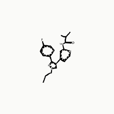 CCCn1cc(-c2ccnc(NC(=O)C(C)C)c2)c(-c2ccc(F)cc2)n1